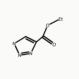 CCOC(=O)C1=C[N]N=N1